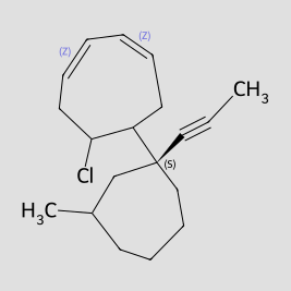 CC#C[C@@]1(C2C/C=C\C=C/CC2Cl)CCCCC(C)C1